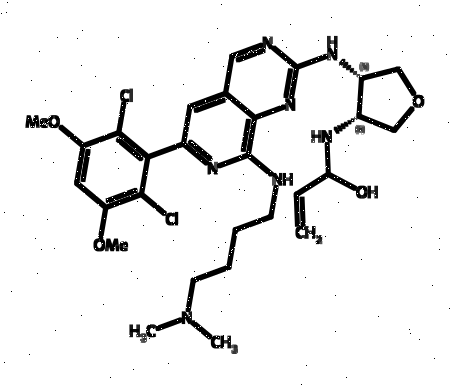 C=CC(O)N[C@H]1COC[C@H]1Nc1ncc2cc(-c3c(Cl)c(OC)cc(OC)c3Cl)nc(NCCCCN(C)C)c2n1